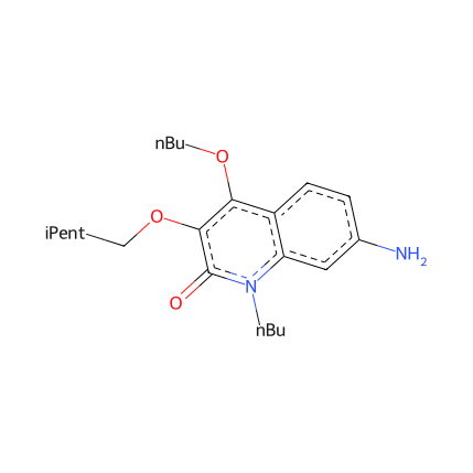 CCCCOc1c(OCC(C)CCC)c(=O)n(CCCC)c2cc(N)ccc12